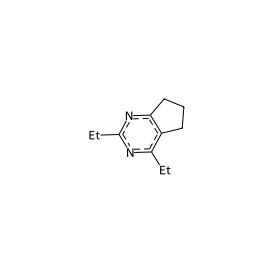 CCc1nc(CC)c2c(n1)CCC2